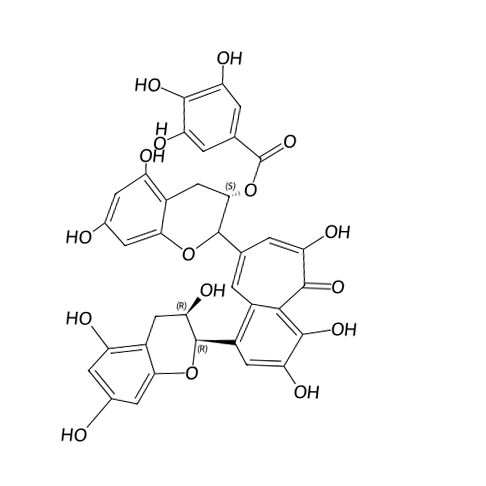 O=C(O[C@H]1Cc2c(O)cc(O)cc2OC1c1cc(O)c(=O)c2c(O)c(O)cc([C@H]3Oc4cc(O)cc(O)c4C[C@H]3O)c2c1)c1cc(O)c(O)c(O)c1